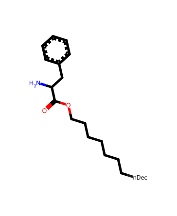 CCCCCCCCCCCCCCCCCOC(=O)C(N)Cc1ccccc1